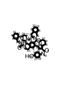 CN(C(=O)c1cc(-c2cc3c(cc2C(=O)N2Cc4ccccc4C[C@H]2CN2CCOCC2)CN(C(=O)NCc2ccccc2)CC3)n2c1CCCC2)c1ccc(O)cc1